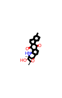 Cc1ccc2c3c(ccc2c1)C(=O)c1c(ccc2c1N[C@@]1(C)CC2O[C@@H](C)[C@@H]1O)C3=O